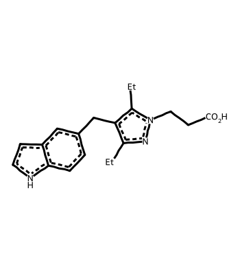 CCc1nn(CCC(=O)O)c(CC)c1Cc1ccc2[nH]ccc2c1